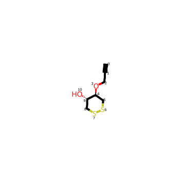 C#CCO[C@H]1CSSC[C@@H]1O